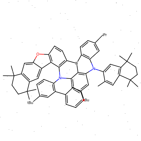 Cc1cc2c(cc1N1c3cc(C(C)C)ccc3B3c4ccc5oc6cc7c(cc6c5c4N(c4ccc(C(C)(C)C)cc4-c4ccccc4)c4cc(C(C)(C)C)cc1c43)C(C)(C)CCC7(C)C)C(C)(C)CCC2(C)C